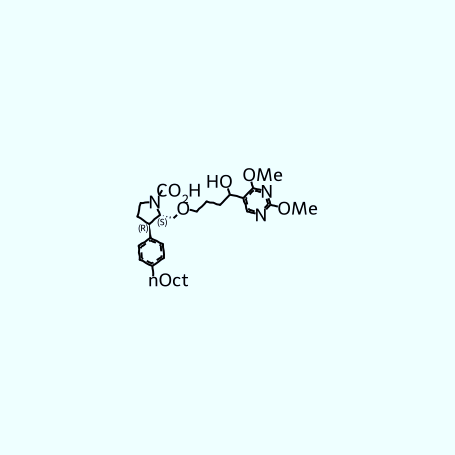 CCCCCCCCc1ccc([C@H]2CCN(C(=O)O)[C@@H]2COCCCC(O)c2cnc(OC)nc2OC)cc1